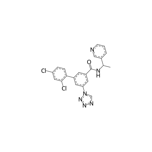 CC(NC(=O)c1cc(-c2ccc(Cl)cc2Cl)cc(-n2cnnn2)c1)c1cccnc1